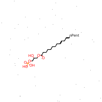 CCCCC/C=C/C/C=C/CCCCCCCC(=O)OCC(O)COP(=O)(O)O